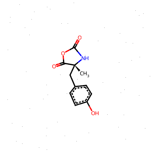 C[C@]1(Cc2ccc(O)cc2)NC(=O)OC1=O